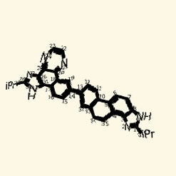 CC(C)c1nc2c3c(ccc2[nH]1)-c1ccc(-c2ccc4c(c2)c2nccnc2c2nc(C(C)C)[nH]c42)cc1CC3